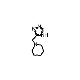 c1nnc(CN2CCCCC2)[nH]1